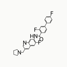 O=C(Nc1cc2ncc(CN3CCCC3)cc2cc1F)c1ccc(-c2ccc(F)cc2)cc1F